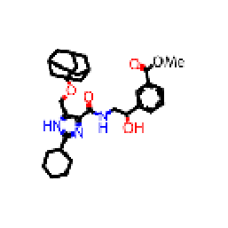 COC(=O)c1cccc(C(O)CNC(=O)c2nc(C3CCCCC3)[nH]c2COC23CC4CC(CC(C4)C2)C3)c1